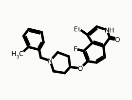 CCc1c[nH]c(=O)c2ccc(OC3CCN(Cc4ccccc4C)CC3)c(F)c12